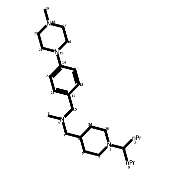 CCCC(CCC)N1CCC(CN(C)Cc2ccc(N3CCN(C)CC3)cc2)CC1